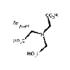 O=C(O)CN(CC(=O)O)CC(=O)O.[Fe].[NaH]